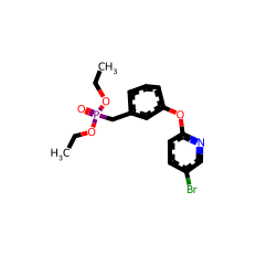 CCOP(=O)(Cc1cccc(Oc2ccc(Br)cn2)c1)OCC